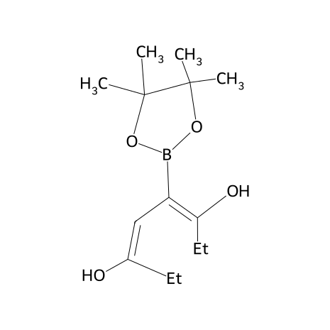 CC/C(O)=C\C(B1OC(C)(C)C(C)(C)O1)=C(\O)CC